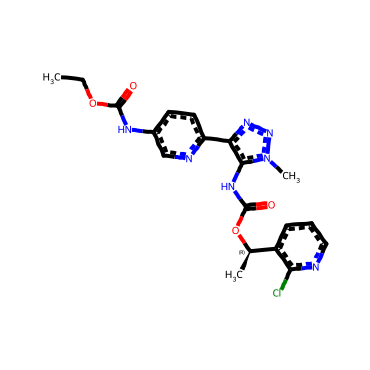 CCOC(=O)Nc1ccc(-c2nnn(C)c2NC(=O)O[C@H](C)c2cccnc2Cl)nc1